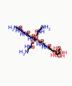 NCCCNC(=O)CCOCC(COCCC(=O)NCCCN)(COCCC(=O)NCCCNC(=O)CCCCO[C@H]1OC(CO)[C@@H](O)C(O)C1O)NC(=O)CCCC(=O)NCCCNC(=O)CCN